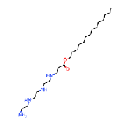 CCCCCCCCCCCCCCOC(=O)CCNCCNCCNCCN